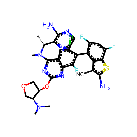 C[C@H](c1nccnc1N)N(C)c1nc(O[C@@H]2COC[C@@H]2N(C)C)nc2c(F)c(-c3c(F)cc(F)c4sc(N)c(C#N)c34)c(Cl)cc12